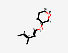 CC=C(C)C=COC1CCCOC1